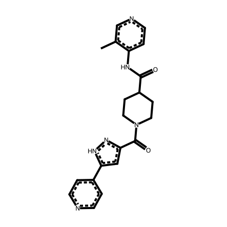 Cc1cnccc1NC(=O)C1CCN(C(=O)c2cc(-c3ccncc3)[nH]n2)CC1